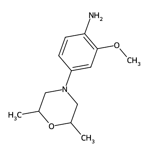 COc1cc(N2CC(C)OC(C)C2)ccc1N